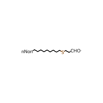 CCCCCCCCCCCCCCCCCCSCC[C]=O